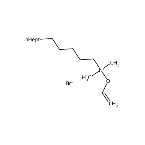 C=CO[N+](C)(C)CCCCCCCCCCCC.[Br-]